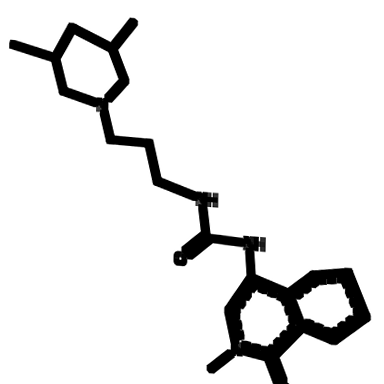 CC1CC(C)CN(CCCNC(=O)Nc2cn(C)c(=O)c3ccccc23)C1